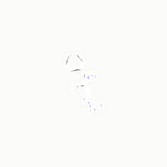 N=NCC(=O)Nc1ccccc1